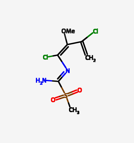 C=C(Cl)/C(OC)=C(Cl)\N=C(/N)S(C)(=O)=O